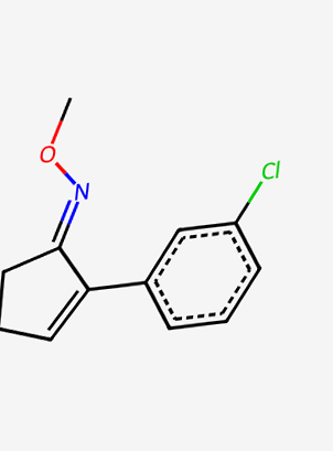 CON=C1CCC=C1c1cccc(Cl)c1